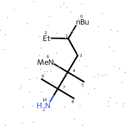 CCCCC(CC)CC(C)(NC)C(C)(C)N